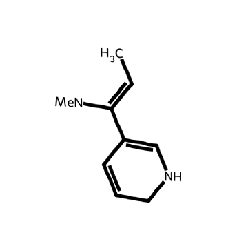 C/C=C(\NC)C1=CNCC=C1